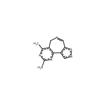 Cc1nc(N)nc2c1CN=Cc1sncc1-2